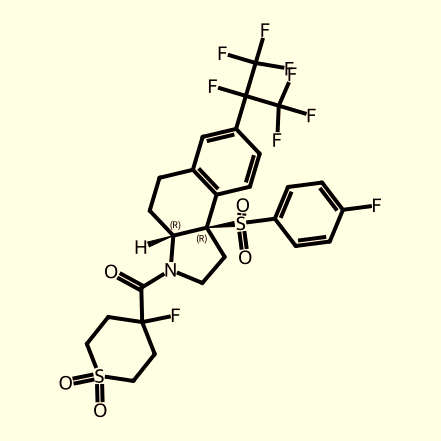 O=C(N1CC[C@@]2(S(=O)(=O)c3ccc(F)cc3)c3ccc(C(F)(C(F)(F)F)C(F)(F)F)cc3CC[C@@H]12)C1(F)CCS(=O)(=O)CC1